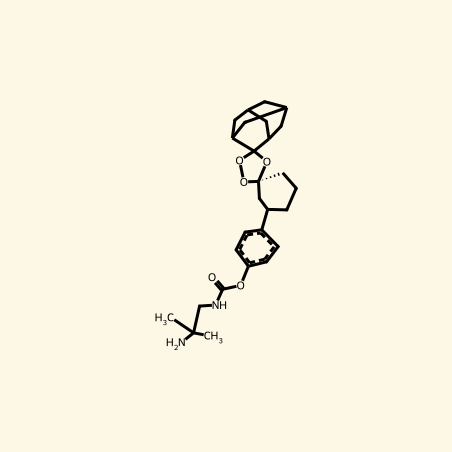 CC(C)(N)CNC(=O)Oc1ccc(C2CCC[C@]3(C2)OOC2(O3)C3CC4CC(C3)CC2C4)cc1